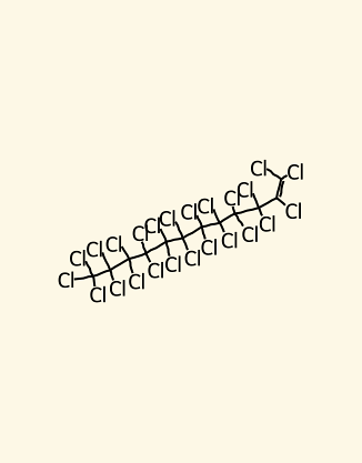 ClC(Cl)=C(Cl)C(Cl)(Cl)C(Cl)(Cl)C(Cl)(Cl)C(Cl)(Cl)C(Cl)(Cl)C(Cl)(Cl)C(Cl)(Cl)C(Cl)(Cl)C(Cl)(Cl)C(Cl)(Cl)Cl